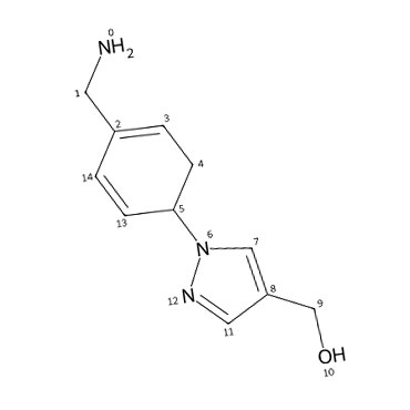 NCC1=CCC(n2cc(CO)cn2)C=C1